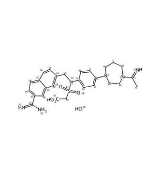 CC(=N)N1CCCN(c2ccc(N(Cc3ccc4ccc(C(=N)N)cc4c3)S(=O)(=O)CC(=O)O)cc2)CC1.Cl